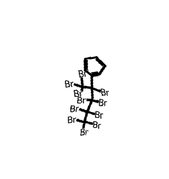 BrC(Br)(Br)C(Br)(Br)C(Br)(Br)C(Br)(c1[c]cccc1)C(Br)(Br)Br